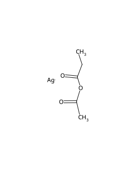 CCC(=O)OC(C)=O.[Ag]